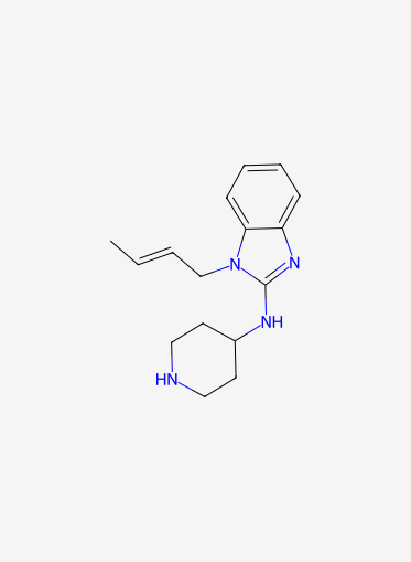 C/C=C/Cn1c(NC2CCNCC2)nc2ccccc21